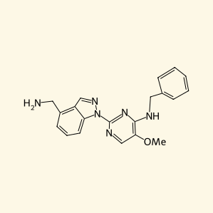 COc1cnc(-n2ncc3c(CN)cccc32)nc1NCc1ccccc1